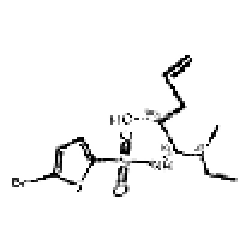 C=CC[C@@H](O)[C@@H](NS(=O)(=O)c1ccc(Br)s1)[C@@H](C)CC